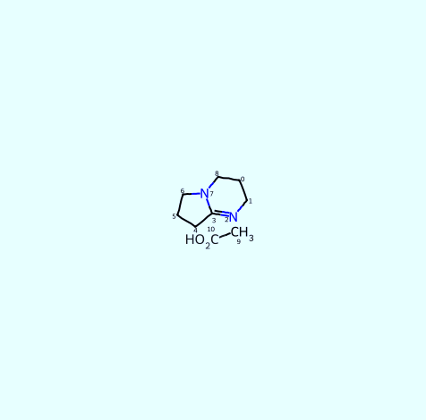 C1CN=C2CCCN2C1.CC(=O)O